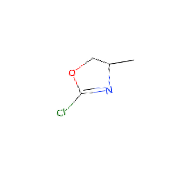 CC1COC(Cl)=N1